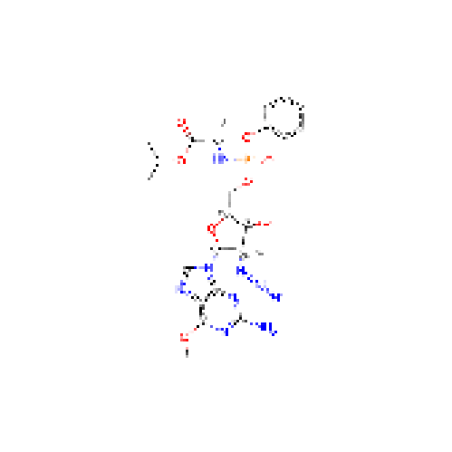 COc1nc(N)nc2c1ncn2[C@@H]1O[C@H](COP(=O)(N[C@@H](C)C(=O)OC(C)C)Oc2ccccc2)[C@@H](O)[C@@]1(C)N=[N+]=[N-]